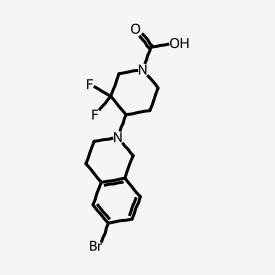 O=C(O)N1CCC(N2CCc3cc(Br)ccc3C2)C(F)(F)C1